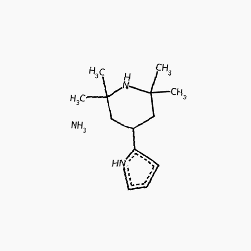 CC1(C)CC(c2ccc[nH]2)CC(C)(C)N1.N